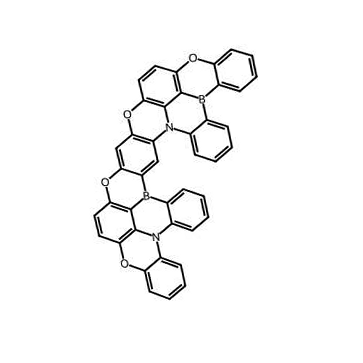 c1ccc2c(c1)Oc1ccc3c4c1B2c1ccccc1N4c1cc2c(cc1O3)Oc1ccc3c4c1B2c1ccccc1N4c1ccccc1O3